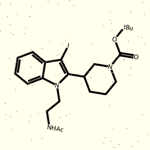 CC(=O)NCCn1c(C2CCCN(C(=O)OC(C)(C)C)C2)c(I)c2ccccc21